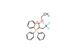 CCOC(=O)C(CC(F)(F)F)=P(c1ccccc1)(c1ccccc1)c1ccccc1